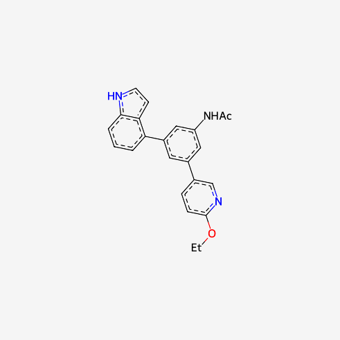 CCOc1ccc(-c2cc(NC(C)=O)cc(-c3cccc4[nH]ccc34)c2)cn1